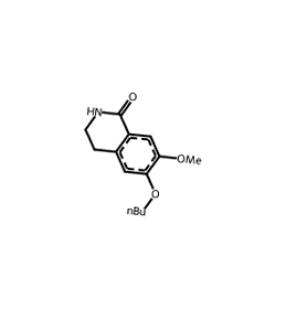 CCCCOc1cc2c(cc1OC)C(=O)NCC2